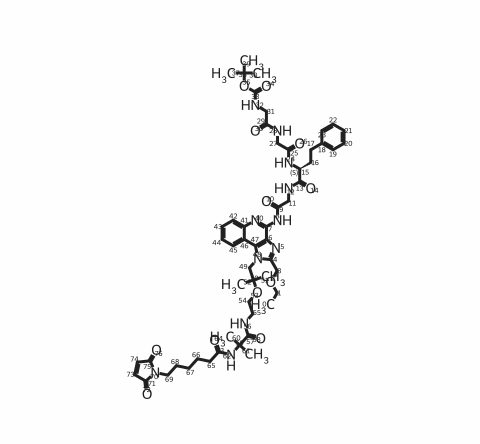 CCOCc1nc2c(NC(=O)CNC(=O)[C@H](CCc3ccccc3)NC(=O)CNC(=O)CNC(=O)OC(C)(C)C)nc3ccccc3c2n1CC(C)(C)OCCNC(=O)C(C)(C)NC(=O)CCCCCN1C(=O)C=CC1=O